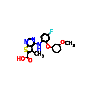 COC1CCCC(Oc2cc(F)ccc2Nc2ncnc3sc(C(=O)O)c(C)c23)C1